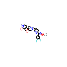 CCO/N=C(\c1ccc(F)c(F)c1)c1ccc(CN2CCC3(CC2)OCc2c3ccn(C)c2=O)cn1